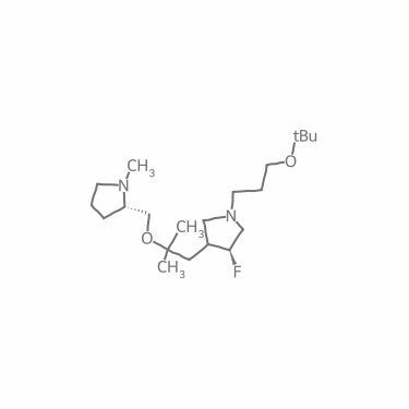 CN1CCC[C@H]1COC(C)(C)CC1CN(CCCOC(C)(C)C)C[C@H]1F